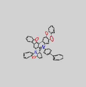 c1ccc(-c2ccc(N3B4c5cccc6c5N(c5ccccc5O6)c5cc6c(oc7ccccc76)c(c54)-c4cc5c(cc43)Oc3ccccc3O5)cc2)cc1